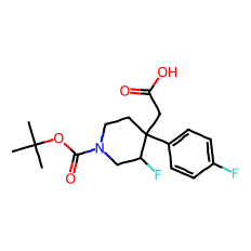 CC(C)(C)OC(=O)N1CCC(CC(=O)O)(c2ccc(F)cc2)C(F)C1